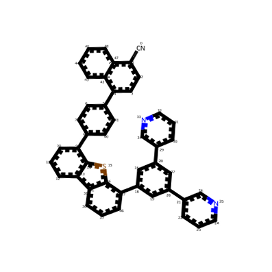 N#Cc1ccc(-c2ccc(-c3cccc4c3sc3c(-c5cc(-c6cccnc6)cc(-c6cccnc6)c5)cccc34)cc2)c2ccccc12